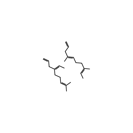 C=CCC(=CC)CCC=C(C)C.C=CCC(C)=CCCC(C)=CC